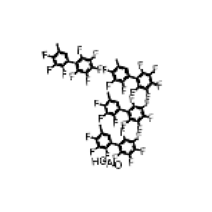 Cc1cc(-c2c(F)c(F)c(F)c(F)c2F)c(F)c(F)c1F.Cc1cc(-c2c(F)c(F)c(F)c(F)c2F)c(F)c(F)c1F.Cc1cc(-c2c(F)c(F)c(F)c(F)c2F)c(F)c(F)c1F.Cc1cc(-c2c(F)c(F)c(F)c(F)c2F)c(F)c(F)c1F.[O]=[Al][OH]